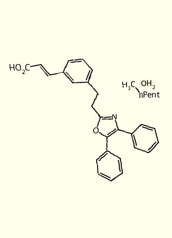 CCCCCC.O.O=C(O)/C=C/c1cccc(CCc2nc(-c3ccccc3)c(-c3ccccc3)o2)c1